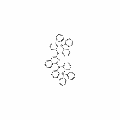 c1ccc([Si]2(c3ccccc3)c3ccccc3N(c3cc4ccccc4c(N4c5ccccc5[Si](c5ccccc5)(c5ccccc5)c5ccccc54)n3)c3ccccc32)cc1